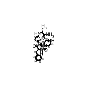 C[C@H](Nc1csc(NC(=O)[C@H](Cc2ccccc2)NS(=O)(=O)N2CCNCC2)n1)C(N)=O